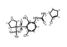 [2H]C([2H])([2H])C1(S(=O)(=O)c2c(Cl)ccc(NC(=O)N[C@@H]3CCC=C3Cl)c2O)CCOC1